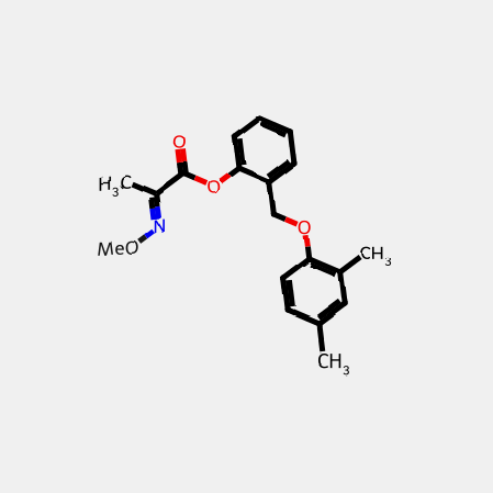 CON=C(C)C(=O)Oc1ccccc1COc1ccc(C)cc1C